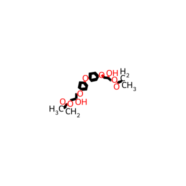 C=C(C)C(=O)OCC(O)COc1ccc(Oc2ccc(OCC(O)COC(=O)C(=C)C)cc2)cc1